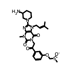 CC(C)=CCn1c(N2CCCC(N)C2)nc2c1c(=O)n(CC(=O)c1cccc(OC[S+](C)[O-])c1)c(=O)n2C